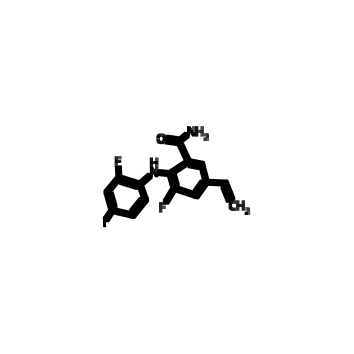 C=Cc1cc(F)c(Nc2ccc(I)cc2F)c(C(N)=O)c1